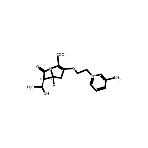 CC(O)[C@H]1C(=O)N2C(C(=O)[O-])=C(SCC[n+]3cccc(N)c3)C[C@H]12